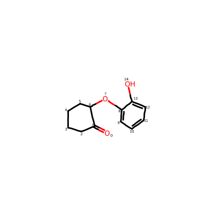 O=C1CCCCC1Oc1ccccc1O